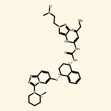 CCN(C)CCn1cc(N/C(=C\C(=N)CC(C)(C)C)NC(=O)N[C@H]2CC[C@@H](Oc3ccc4nnc(N5CCCC[C@@H]5C)n4c3)c3ccccc32)cn1